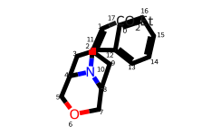 CCOC(=O)C=C1CC2COCC(C1)N2Cc1ccccc1